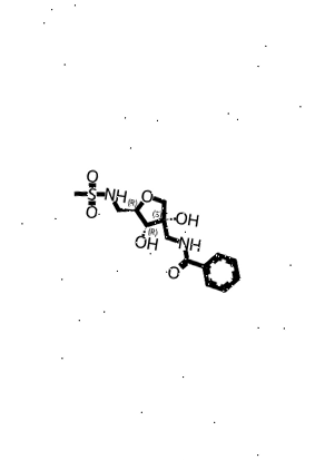 CS(=O)(=O)NC[C@H]1OC[C@@](O)(CNC(=O)c2ccccc2)[C@@H]1O